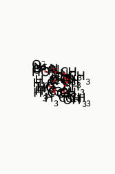 CC[C@H]1OC(=O)[C@H](C)[C@@H](O[C@H]2C[C@@](C)(OC)[C@@H](O)[C@H](C)O2)[C@H](C)[C@@H](O[C@@H]2O[C@H](C)C[C@H](N(C)CCCc3cn([C@H](CO)Cc4ccc([N+](=O)[O-])cc4)nn3)[C@H]2O)[C@](C)(O)C[C@@H](C)CN(C)[C@H](C)[C@@H](O)[C@]1(C)O